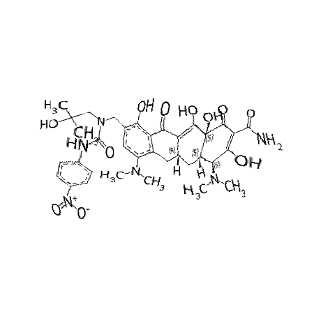 CN(C)c1cc(CN(CC(C)(C)O)C(=O)Nc2ccc([N+](=O)[O-])cc2)c(O)c2c1C[C@H]1C[C@H]3[C@H](N(C)C)C(O)=C(C(N)=O)C(=O)[C@@]3(O)C(O)=C1C2=O